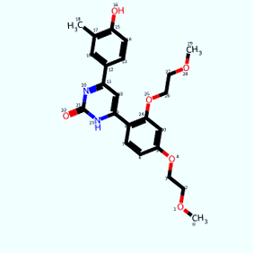 COCCOc1ccc(-c2cc(-c3ccc(O)c(C)c3)nc(=O)[nH]2)c(OCCOC)c1